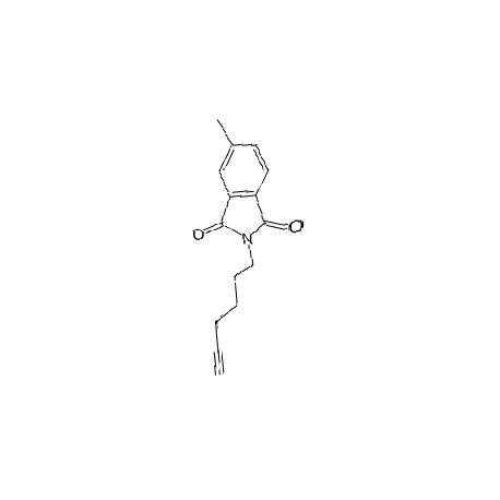 C#CCCCCN1C(=O)c2ccc(C)cc2C1=O